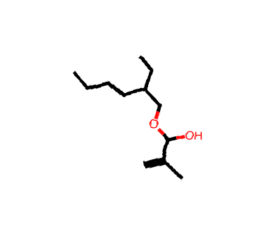 C=C(C)C(O)OCC(CC)CCCC